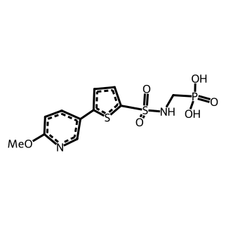 COc1ccc(-c2ccc(S(=O)(=O)NCP(=O)(O)O)s2)cn1